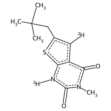 [2H]c1c(CC(C)(C)C)sc2c1c(=O)n(C)c(=O)n2[2H]